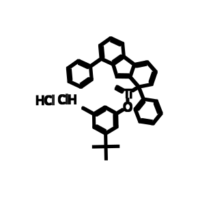 Cl.Cl.[CH2]=[Ti]([O]c1cc(C)cc(C(C)(C)C)c1)[C]1(c2ccccc2)C=CC=C2C1=Cc1c2cccc1-c1ccccc1